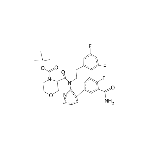 CC(C)(C)OC(=O)N1CCOCC1C(=O)N(CCc1cc(F)cc(F)c1)c1ncccc1-c1ccc(F)c(C(N)=O)c1